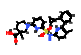 Cc1ccc(NS(=O)(=O)c2cccc(N3CCCC(C)(C(=O)O)C3)n2)nc1-c1ccccc1C1CC1